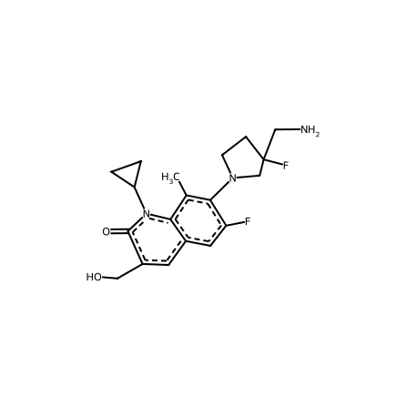 Cc1c(N2CCC(F)(CN)C2)c(F)cc2cc(CO)c(=O)n(C3CC3)c12